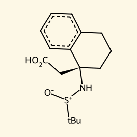 CC(C)(C)[S+]([O-])N[C@@]1(CC(=O)O)CCCc2ccccc21